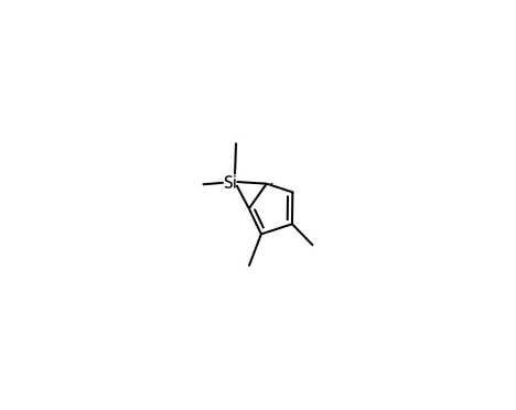 CC1=C[C]2C(=C1C)[Si]2(C)C